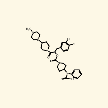 CN1CCN(C2CCN(C(=O)C(Cc3ccc(Cl)c(Cl)c3)OC(=O)N3CCC(n4c(=O)[nH]c5ccccc54)CC3)CC2)CC1